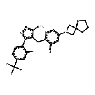 Cn1nnc(-c2ccc(C(F)(F)F)cc2F)c1Cn1ncc(N2CC3(CCCO3)C2)cc1=O